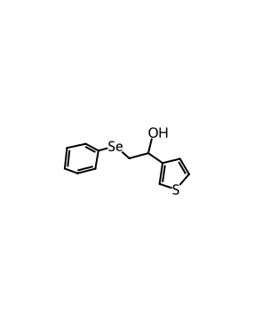 OC(C[Se]c1ccccc1)c1ccsc1